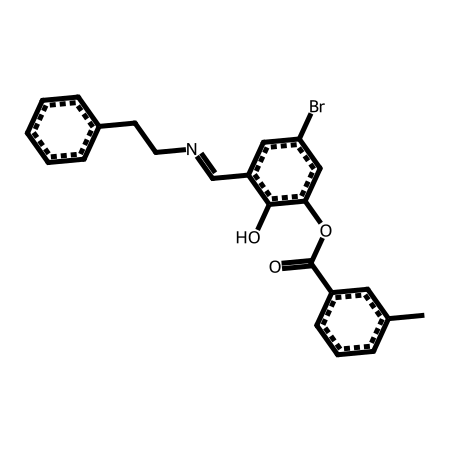 Cc1cccc(C(=O)Oc2cc(Br)cc(C=NCCc3ccccc3)c2O)c1